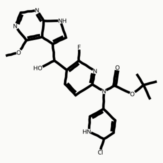 COc1ncnc2[nH]cc(C(O)c3ccc(N(C(=O)OC(C)(C)C)C4=CNC(Cl)C=C4)nc3F)c12